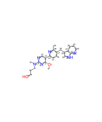 COc1nc(N(C)CCCO)ncc1-c1ccc(Cc2c[nH]c3ncccc23)c(C)n1